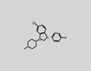 CN1CCN([C@@H]2C[C@@H](c3ccc(F)cc3)c3ccc(Cl)cc32)CC1